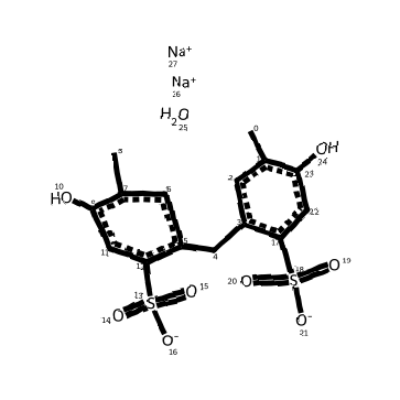 Cc1cc(Cc2cc(C)c(O)cc2S(=O)(=O)[O-])c(S(=O)(=O)[O-])cc1O.O.[Na+].[Na+]